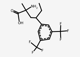 CCC(CC(C)(N)C(=O)O)c1cc(C(F)(F)F)cc(C(F)(F)F)c1